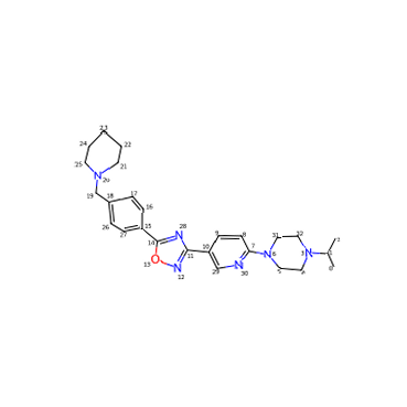 CC(C)N1CCN(c2ccc(-c3noc(-c4ccc(CN5CCCCC5)cc4)n3)cn2)CC1